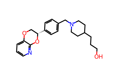 OCCCC1CCN(Cc2ccc([C@H]3COc4cccnc4O3)cc2)CC1